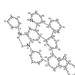 c1ccc(N2CCN(c3ccccc3)c3cc4c(cc32)-c2cc(-c3cccc5c3oc3ccccc35)ccc2-c2ccccc2-c2cccnc2-4)cc1